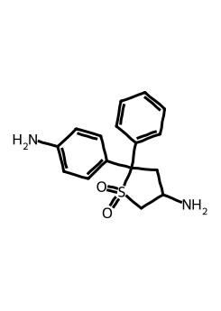 Nc1ccc(C2(c3ccccc3)CC(N)CS2(=O)=O)cc1